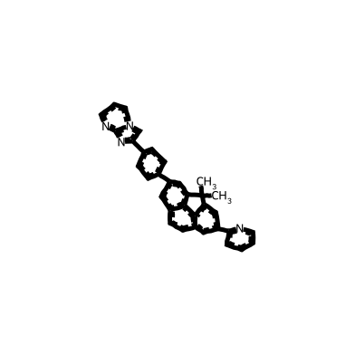 CC1(C)c2cc(-c3ccc(-c4cn5cccnc5n4)cc3)cc3ccc4cc(-c5ccccn5)cc1c4c23